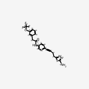 Nc1nnc(CCC#Cc2ccc(NC(=O)Cc3cccc(OC(F)(F)F)c3)cn2)s1